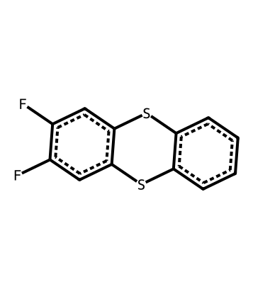 Fc1cc2c(cc1F)Sc1ccccc1S2